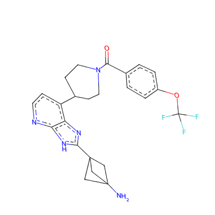 NC12CC(c3nc4c(C5CCN(C(=O)c6ccc(OC(F)(F)F)cc6)CC5)ccnc4[nH]3)(C1)C2